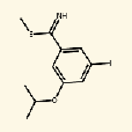 CSC(=N)c1cc(I)cc(OC(C)C)c1